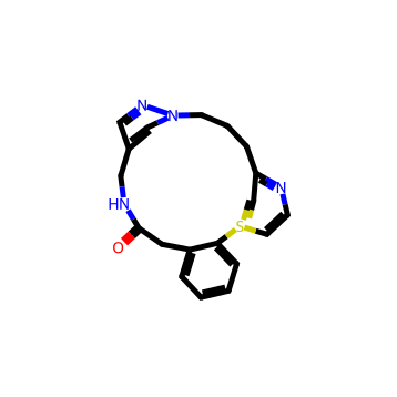 O=C1Cc2ccccc2S2=CC(=NC=C2)CCCn2cc(cn2)CN1